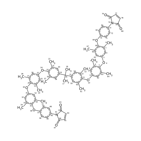 Cc1cc(Oc2c(C)cc(Oc3c(C)cc(C(C)(C)c4cc(C)c(Oc5cc(C)c(Oc6cc(C)c(Oc7ccc(N8C(=O)C=CC8=O)cc7)c(C)c6)c(C)c5)c(C)c4)cc3C)cc2C)cc(C)c1Oc1ccc(N2C(=O)C=CC2=O)cc1